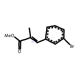 COC(=O)/C(C)=C/c1cccc(Br)c1